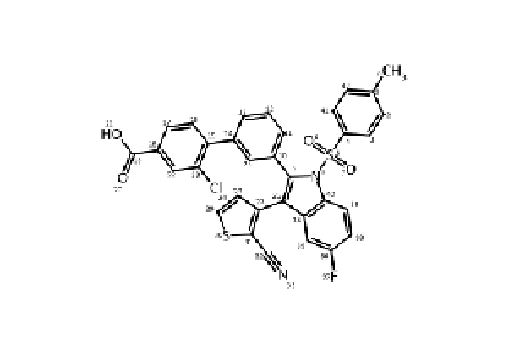 Cc1ccc(S(=O)(=O)n2c(-c3cccc(-c4ccc(C(=O)O)cc4Cl)c3)c(-c3ccsc3C#N)c3cc(F)ccc32)cc1